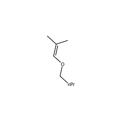 CCCCOC=C(C)C